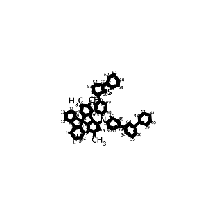 Cc1cc2c(cc1C)C1(c3ccccc3-c3ccccc31)c1c(C)c(C)cc(N(c3ccc(-c4cccc(-c5ccccc5)c4)cc3)c3ccc(-c4cccc5c4sc4ccccc45)cc3)c1-2